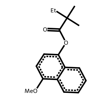 CCC(C)(C)C(=O)Oc1ccc(OC)c2ccccc12